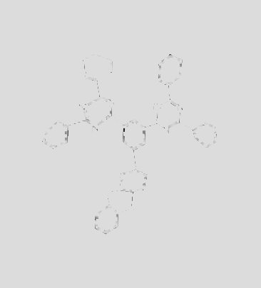 C1=CC(c2nc(-c3ccccc3)nc(-c3cc(-c4ccc5c(c4)Sc4ccccc4O5)cc(C4N=C(c5ccccc5)N=C(c5ccccc5)N4)c3)n2)=CCC1